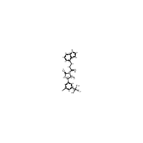 Cc1cc([C@H]2OC(=O)N(C(=O)CCc3cccc4sccc34)[C@H]2C)cc(C(F)(F)F)c1